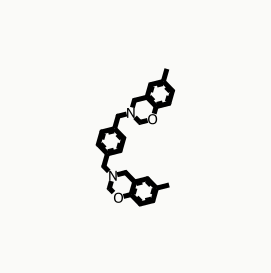 Cc1ccc2c(c1)CN(Cc1ccc(CN3COc4ccc(C)cc4C3)cc1)CO2